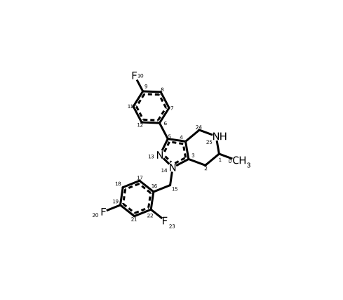 CC1Cc2c(c(-c3ccc(F)cc3)nn2Cc2ccc(F)cc2F)CN1